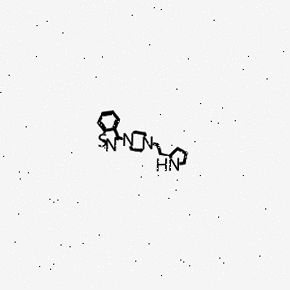 c1ccc2c(N3CCN(CC[C@H]4CCCN4)CC3)nsc2c1